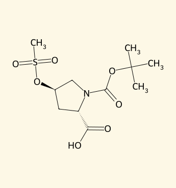 CC(C)(C)OC(=O)N1C[C@H](OS(C)(=O)=O)C[C@H]1C(=O)O